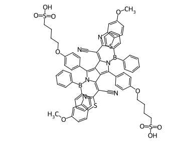 COc1ccc2sc(/C(C#N)=c3/c4c(-c5ccc(OCCCCS(=O)(=O)O)cc5)n(B(c5ccccc5)c5ccccc5)/c(=C(/C#N)c5nc6cc(OC)ccc6s5)c4c(-c4ccc(OCCCCS(=O)(=O)O)cc4)n3B(c3ccccc3)c3ccccc3)nc2c1